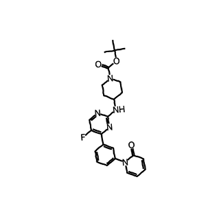 CC(C)(C)OC(=O)N1CCC(Nc2ncc(F)c(-c3cccc(-n4ccccc4=O)c3)n2)CC1